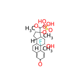 C[C@H]1C[C@H]2[C@@H]3CCC4=CC(=O)C=C[C@]4(C)[C@@]3(F)[C@@H](O)C[C@]2(C)[C@@]1(OS(=O)(=O)O)C(=O)CO